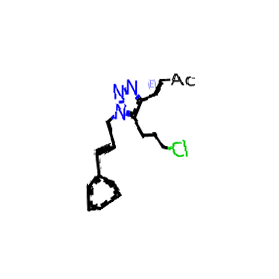 CC(=O)/C=C/c1nnn(CC=Cc2ccccc2)c1CCCCl